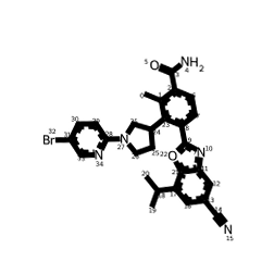 Cc1c(C(N)=O)ccc(-c2nc3cc(C#N)cc(C(C)C)c3o2)c1C1CCN(c2ccc(Br)cn2)C1